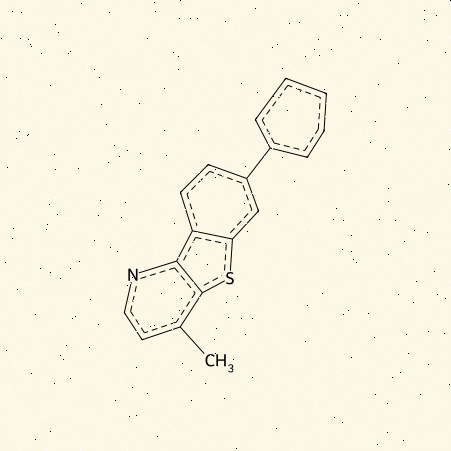 Cc1ccnc2c1sc1cc(-c3ccccc3)ccc12